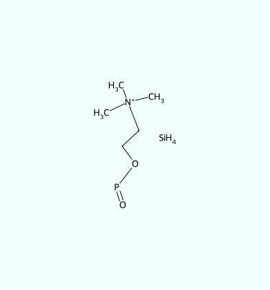 C[N+](C)(C)CCOP=O.[SiH4]